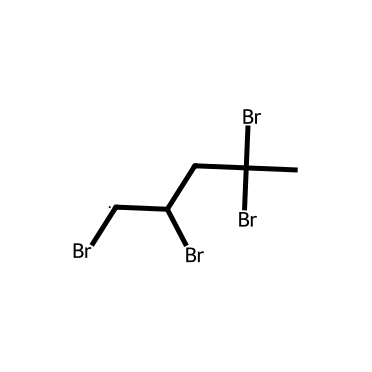 CC(Br)(Br)CC(Br)[CH]Br